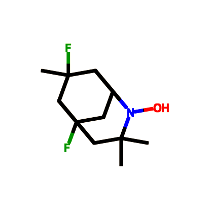 CC1(F)CC2CC(F)(C1)CC(C)(C)N2O